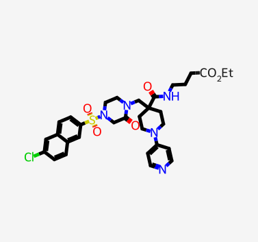 CCOC(=O)CCCNC(=O)C1(CN2CCN(S(=O)(=O)c3ccc4cc(Cl)ccc4c3)CC2=O)CCN(c2ccncc2)CC1